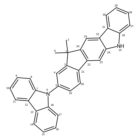 CC1(C)c2cc(-n3c4ccccc4c4ccccc43)ccc2-c2cc3[nH]c4ccccc4c3cc21